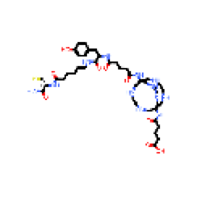 NC(=O)[C@H](CS)NC(=O)CCCCCNC(=O)C(Cc1ccc(O)cc1)NC(=O)CCCC(=O)NC12CNCCNCC(NC(=O)CCCC(=O)O)(CNCCNC1)CNCCNC2